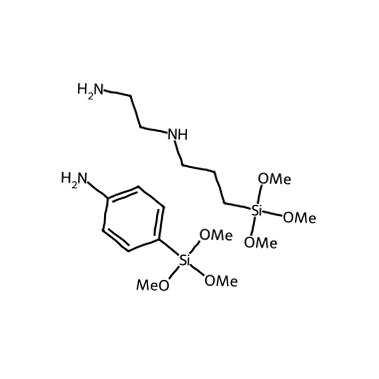 CO[Si](CCCNCCN)(OC)OC.CO[Si](OC)(OC)c1ccc(N)cc1